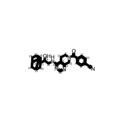 N#Cc1ccc(C(=O)N2CCc3c(ncnc3NCC(O)C34CC5CC(CC(C5)C3)C4)C2)cc1